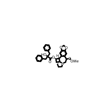 COOC1CN2CCC[C@@]23C[C@@H](OC(=O)C(O)(Cc2ccccc2)Cc2ccccc2)[C@H]3c2cc3c(cc21)OCO3